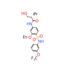 CCOc1cc(NC(=O)[C@H](CO)C(C)C)ccc1S(=O)(=O)Nc1cccc(OC(F)(F)F)c1